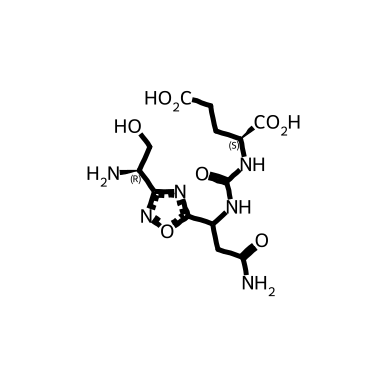 NC(=O)CC(NC(=O)N[C@@H](CCC(=O)O)C(=O)O)c1nc([C@@H](N)CO)no1